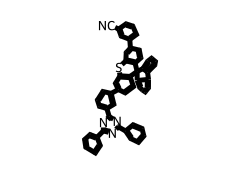 N#Cc1cccc(-c2ccc3c(c2)Sc2cc(-c4cccc(-c5nc(-c6ccccc6)nc(-c6ccccc6)n5)c4)ccc2C32c3ccccc3-c3ccccc32)c1